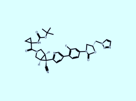 CC(C)(C)OC(=O)NC1(C(=O)N2C[C@@H]3[C@H](C2)[C@@]3(C#N)c2ccc(-c3ccc(N4C[C@H](Cn5ccnn5)OC4=O)cc3F)cn2)CC1